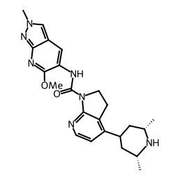 COc1nc2nn(C)cc2cc1NC(=O)N1CCc2c(C3C[C@@H](C)N[C@@H](C)C3)ccnc21